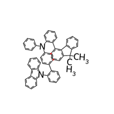 CC1(C)c2ccccc2-c2c(-c3ccccc3N(c3ccccc3)c3ccc(-c4ccccc4-n4c5ccccc5c5ccccc54)cc3)cccc21